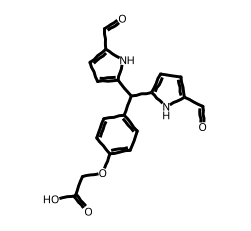 O=Cc1ccc(C(c2ccc(OCC(=O)O)cc2)c2ccc(C=O)[nH]2)[nH]1